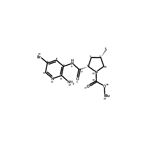 C[C@H]1C[C@@H](C(=O)Nc2cc(Br)cnc2N)N(C(=O)OC(C)(C)C)C1